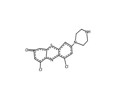 O=c1cc2sc3cc(N4CCNCC4)cc(Cl)c3nc-2c(Cl)c1